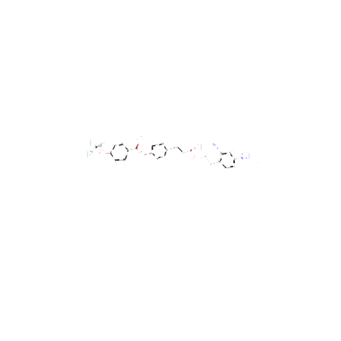 Nc1ccc(CCOC(=O)C=Cc2ccc(OC(=O)c3ccc(OC(F)(F)F)cc3)cc2)c(N)c1